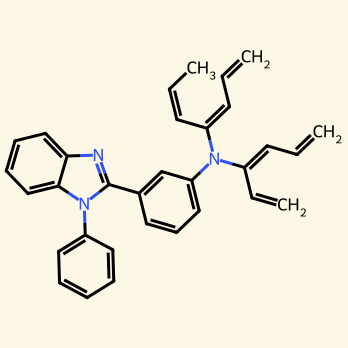 C=C/C=C(\C=C)N(C(/C=C\C)=C/C=C)c1cccc(-c2nc3ccccc3n2-c2ccccc2)c1